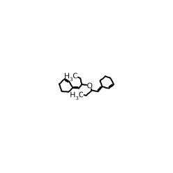 CCC(C=C1C=CCCC1)OC(C=C1C=CCCC1)CC